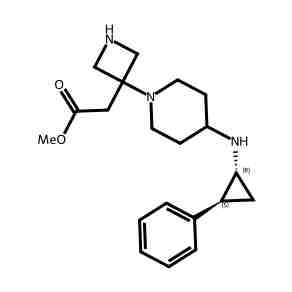 COC(=O)CC1(N2CCC(N[C@@H]3C[C@H]3c3ccccc3)CC2)CNC1